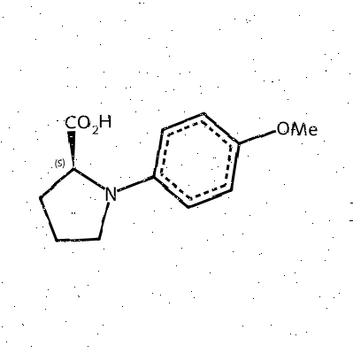 COc1ccc(N2CCC[C@H]2C(=O)O)cc1